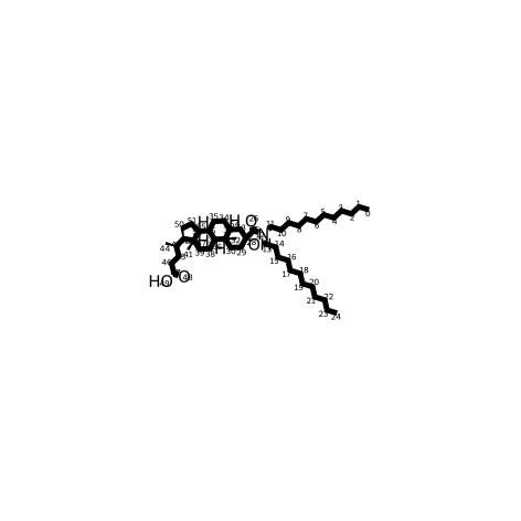 CCCCCCCCCCCCN(CCCCCCCCCCCC)C(=O)[C@@]1(O)CC[C@@]2(C)[C@H](CC[C@@H]3[C@@H]2CC[C@]2(C)[C@@H]([C@H](C)CCC(=O)O)CC[C@@H]32)C1